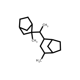 CC1CC(C(C)C2(C)CC3CCC2C3)C2CCC1C2